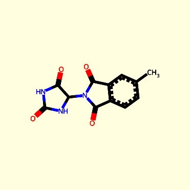 Cc1ccc2c(c1)C(=O)N(C1NC(=O)NC1=O)C2=O